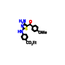 CCOC(=O)c1ccc(Nc2nc(N)c(C(=O)c3ccc(OC)cc3)s2)cc1